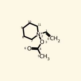 C=C[N+]1(OC(C)=O)CCCCC1